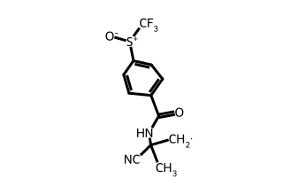 [CH2]C(C)(C#N)NC(=O)c1ccc([S+]([O-])C(F)(F)F)cc1